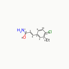 CCc1cc(C=CC(N)=O)ccc1Cl